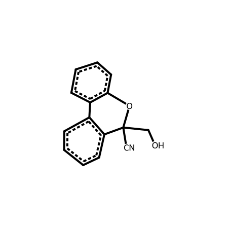 N#CC1(CO)Oc2ccccc2-c2ccccc21